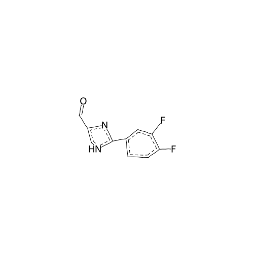 O=Cc1c[nH]c(-c2ccc(F)c(F)c2)n1